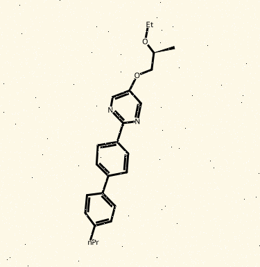 CCCc1ccc(-c2ccc(-c3ncc(OC[C@H](C)OCC)cn3)cc2)cc1